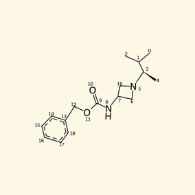 CC(C)[C@@H](C)N1CC(NC(=O)OCc2ccccc2)C1